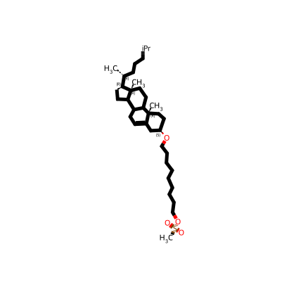 CC(C)CCC[C@@H](C)[C@H]1CCC2C3CC=C4C[C@@H](OCCCCCCCCCOS(C)(=O)=O)CC[C@]4(C)C3CC[C@@]21C